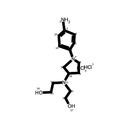 Cl.Cl.Nc1ccc(N2CCC(N(CCO)CCO)C2)cc1